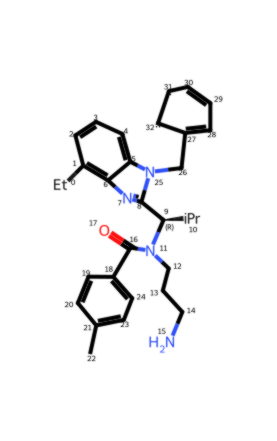 CCc1cccc2c1nc([C@@H](C(C)C)N(CCCN)C(=O)c1ccc(C)cc1)n2CC1=CC=C[C][C]1